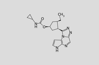 CC[C@@H]1C[C@H](OC(=O)NC2CC2)C[C@@H]1c1nnc2cnc3[nH]ccc3n12